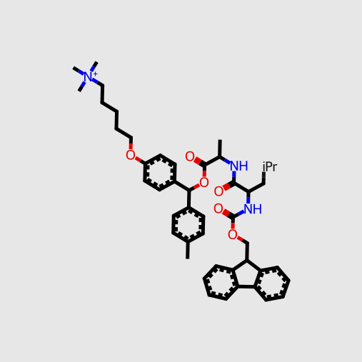 Cc1ccc(C(OC(=O)C(C)NC(=O)C(CC(C)C)NC(=O)OCC2c3ccccc3-c3ccccc32)c2ccc(OCCCCC[N+](C)(C)C)cc2)cc1